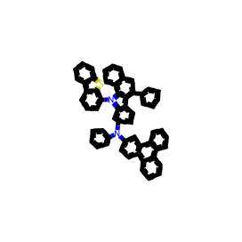 c1ccc(-c2cc3ccccc3c3c2c2ccc(N(c4ccccc4)c4ccc5c6ccccc6c6ccccc6c5c4)cc2n3-c2cccc3c2sc2ccccc23)cc1